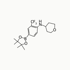 CC1(C)OB(c2ccc(NC3CCOCC3)c(C(F)(F)F)c2)OC1(C)C